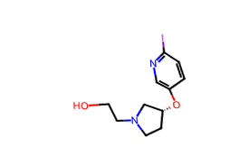 OCCN1CC[C@@H](Oc2ccc(I)nc2)C1